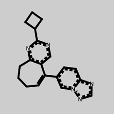 C1=C(c2ccc3ncnn3c2)c2cnc(C3CCC3)nc2CCC1